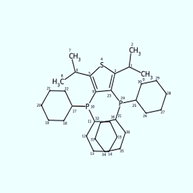 CC(C)c1sc(C(C)C)c(P(C2CCCCC2)C2CCCCC2)c1P(C1CCCCC1)C1CCCCC1